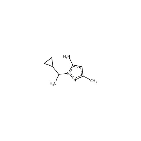 Cc1cc(N)n(C(C)C2CC2)n1